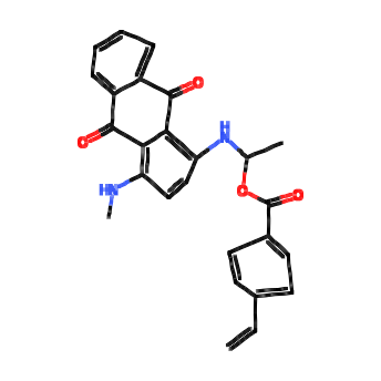 C=Cc1ccc(C(=O)OC(C)Nc2ccc(NC)c3c2C(=O)c2ccccc2C3=O)cc1